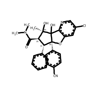 CN(C)C(=O)[C@@H]1[C@@H](c2ccccc2)[C@]2(c3ccc(C#N)cc3)Oc3cc(Cl)cnc3C2(O)[C@]1(C)O